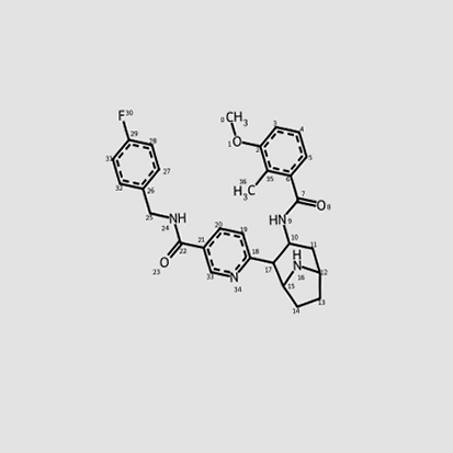 COc1cccc(C(=O)NC2CC3CCC(N3)C2c2ccc(C(=O)NCc3ccc(F)cc3)cn2)c1C